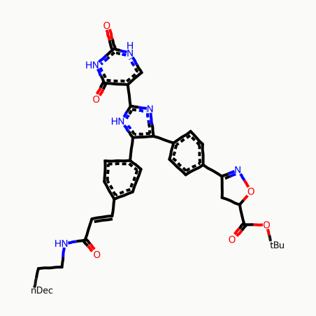 CCCCCCCCCCCCNC(=O)C=Cc1ccc(-c2[nH]c(-c3c[nH]c(=O)[nH]c3=O)nc2-c2ccc(C3=NOC(C(=O)OC(C)(C)C)C3)cc2)cc1